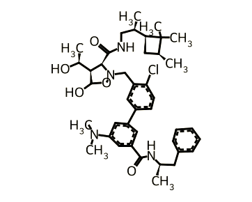 C[C@H](Cc1ccccc1)NC(=O)c1cc(-c2ccc(Cl)c(CN3OC(O)[C@@H]([C@H](C)O)[C@H]3C(=O)NC[C@@H](C)[C@@H]3C[C@H](C)C3(C)C)c2)cc(N(C)C)c1